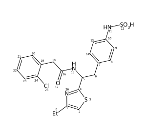 CCc1csc(C(Cc2ccc(NS(=O)(=O)O)cc2)NC(=O)Cc2ccccc2Cl)n1